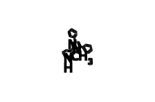 CC1NC=CC=C1c1nc(-c2ccccc2)cc(-c2ccccc2)n1